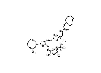 CC1=C/C=C\C=C/C([C@H]2CC(OCSSC(C)(C)CNC(=O)OC3CC/C=C/CCC3)[C@@H](COP(=O)(O)OP(=O)(O)OP(=O)(O)O)O2)=C\1